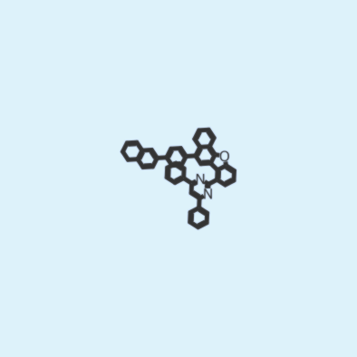 C1=Cc2cc(-c3ccc(-c4cc5c(oc6cccc(-c7nc(-c8ccccc8)cc(-c8ccccc8)n7)c65)c5ccccc45)cc3)ccc2CC1